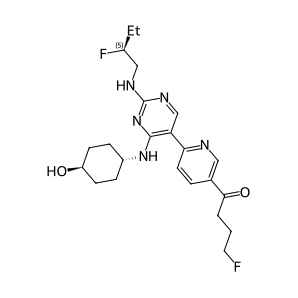 CC[C@H](F)CNc1ncc(-c2ccc(C(=O)CCCF)cn2)c(N[C@H]2CC[C@H](O)CC2)n1